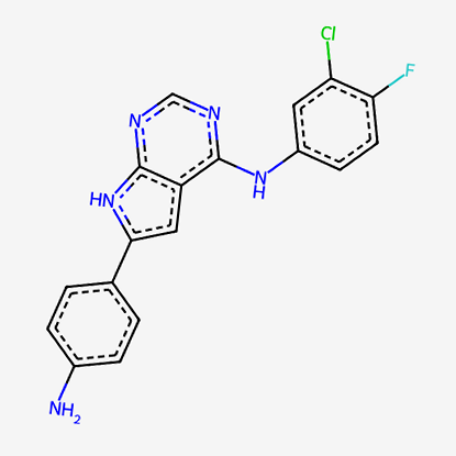 Nc1ccc(-c2cc3c(Nc4ccc(F)c(Cl)c4)ncnc3[nH]2)cc1